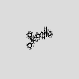 O=S(=O)(c1ccc(CNNc2ncccn2)cc1)N(Cc1ccccc1)Cc1ccccc1